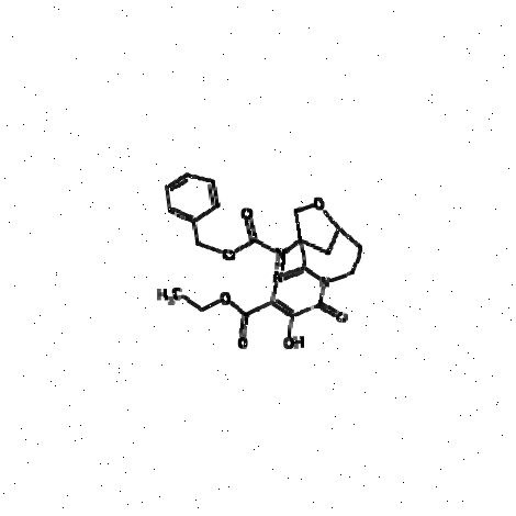 CCOC(=O)c1nc2n(c(=O)c1O)CCC1CC2(NC(=O)OCc2ccccc2)CO1